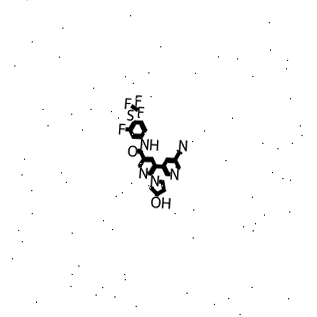 N#Cc1cncc(-c2cc(C(=O)Nc3ccc(SC(F)(F)F)c(F)c3)cnc2N2CCC(O)C2)c1